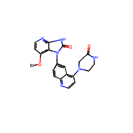 CCOc1ccnc2[nH]c(=O)n(-c3ccc4nccc(N5CCNC(=O)C5)c4c3)c12